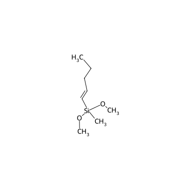 CCCC=C[Si](C)(OC)OC